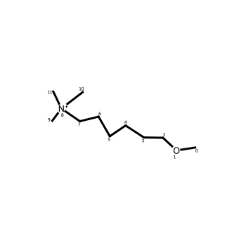 COCCCCCC[N+](C)(C)C